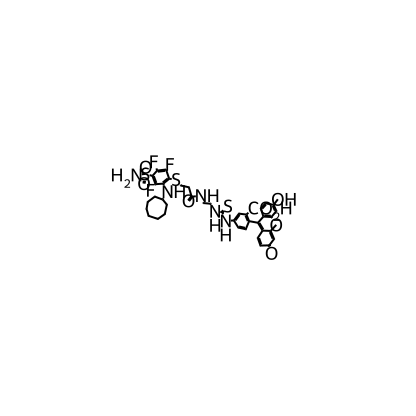 NS(=O)(=O)c1c(F)c(F)c(SCCC(=O)NCCNC(=S)Nc2ccc(-c3c4ccc(=O)cc-4oc4cc(O)ccc34)c(C(=O)O)c2)c(NC2CCCCCCC2)c1F